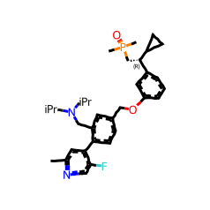 Cc1cc(-c2ccc(COc3cccc([C@H](CP(C)(C)=O)C4CC4)c3)cc2CN(C(C)C)C(C)C)c(F)cn1